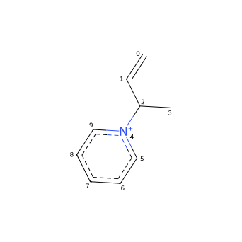 C=CC(C)[n+]1ccccc1